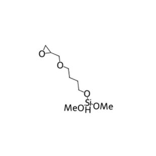 CO[SiH](OC)OCCCCOCC1CO1